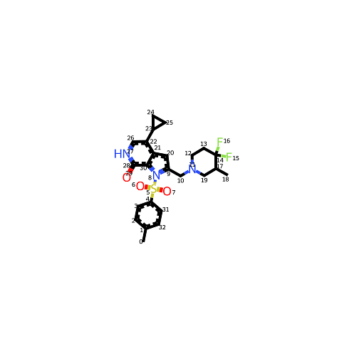 Cc1ccc(S(=O)(=O)n2c(CN3CCC(F)(F)C(C)C3)cc3c(C4CC4)c[nH]c(=O)c32)cc1